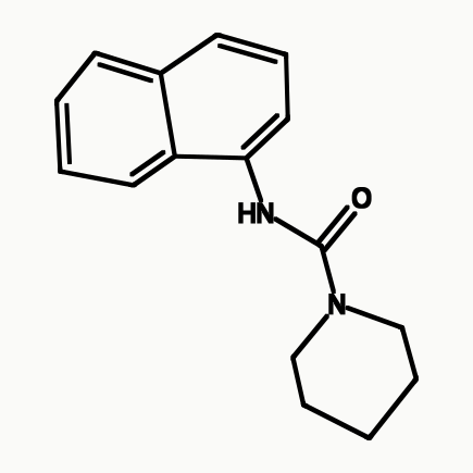 O=C(Nc1cccc2ccccc12)N1CCCCC1